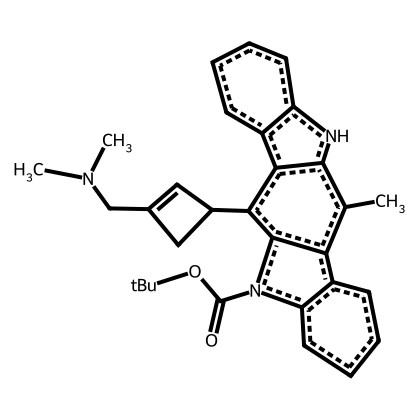 Cc1c2[nH]c3ccccc3c2c(C2C=C(CN(C)C)C2)c2c1c1ccccc1n2C(=O)OC(C)(C)C